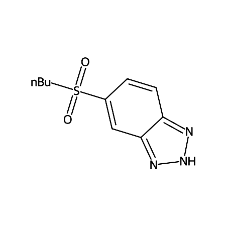 CCCCS(=O)(=O)c1ccc2n[nH]nc2c1